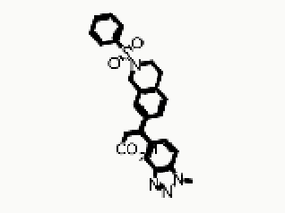 Cn1nnc2cc(C(CC(=O)O)c3ccc4c(c3)CN(S(=O)(=O)c3ccccc3)CC4)ccc21